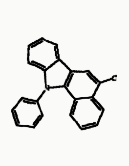 Clc1cc2c3ccccc3n(-c3ccccc3)c2c2ccccc12